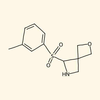 Cc1cccc(S(=O)(=O)C2NCC23COC3)c1